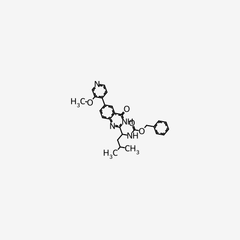 COc1cnccc1-c1ccc2nc(C(CC(C)C)NC(=O)OCc3ccccc3)[nH]c(=O)c2c1